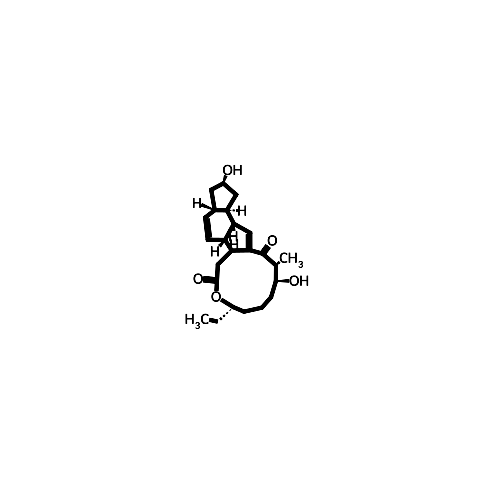 CC[C@H]1CCC[C@H](O)[C@@H](C)C(=O)C2=C[C@@H]3[C@@H](C=C[C@@H]4C[C@@H](O)C[C@@H]34)[C@@H]2CC(=O)O1